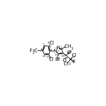 Cc1nn(-c2c(Cl)cc(C(F)(F)F)cc2Cl)c(Br)c1S(=O)(=O)C(F)(Cl)Cl